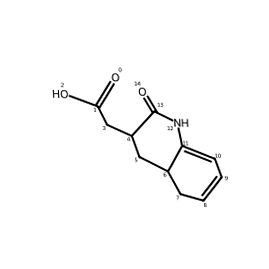 O=C(O)CC1CC2CC=CC=C2NC1=O